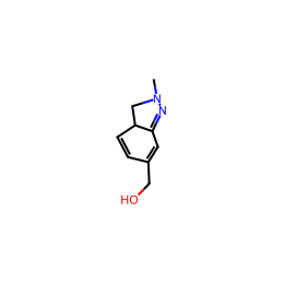 CN1CC2C=CC(CO)=CC2=N1